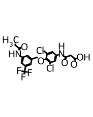 CCC(=O)Nc1cc(COc2c(Cl)cc(NC(=O)CC(=O)O)cc2Cl)cc(C(F)(F)F)c1